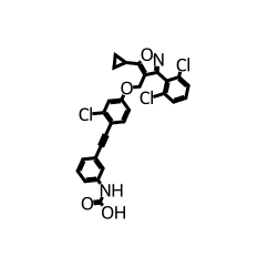 O=C(O)Nc1cccc(C#Cc2ccc(OCc3c(-c4c(Cl)cccc4Cl)noc3C3CC3)cc2Cl)c1